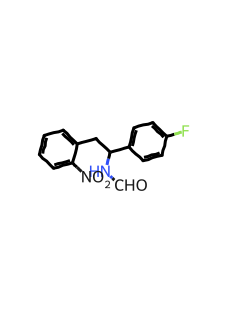 O=CNC(Cc1ccccc1[N+](=O)[O-])c1ccc(F)cc1